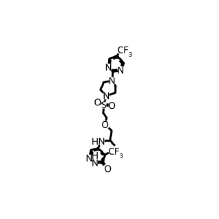 CC(COCCS(=O)(=O)N1CCN(c2ncc(C(F)(F)F)cn2)CC1)Nc1cn[nH]c(=O)c1C(F)(F)F